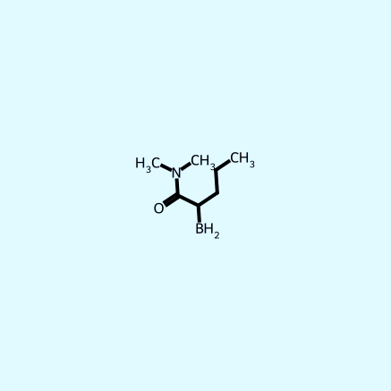 BC(CCC)C(=O)N(C)C